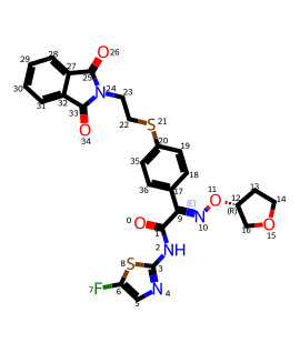 O=C(Nc1ncc(F)s1)/C(=N/O[C@@H]1CCOC1)c1ccc(SCCN2C(=O)c3ccccc3C2=O)cc1